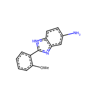 COc1ccccc1-c1nc2cc(N)ccc2[nH]1